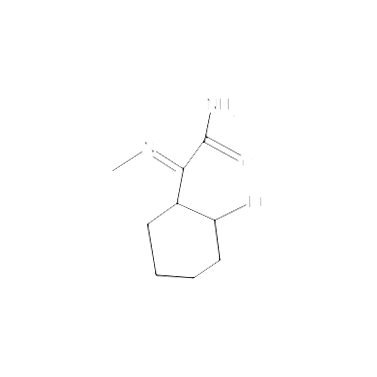 CCC1CCCCC1/C(=N\C)C(N)=O